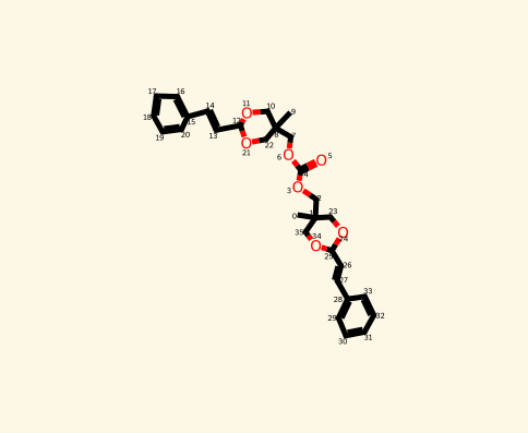 CC1(COC(=O)OCC2(C)COC(/C=C/c3ccccc3)OC2)COC(/C=C/c2ccccc2)OC1